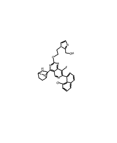 OCc1nccn1CCOc1nc(N2CC3CCC2CN3)c2cnc(-c3cccc4cccc(Cl)c34)c(F)c2n1